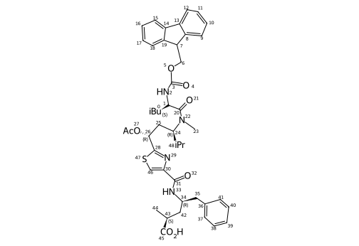 CC[C@H](C)C(NC(=O)OCC1c2ccccc2-c2ccccc21)C(=O)N(C)[C@H](C[C@@H](OC(C)=O)c1nc(C(=O)N[C@@H](Cc2ccccc2)C[C@H](C)C(=O)O)cs1)C(C)C